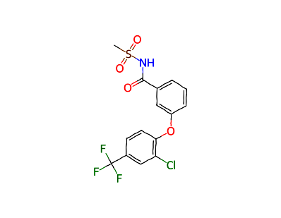 CS(=O)(=O)NC(=O)c1cccc(Oc2ccc(C(F)(F)F)cc2Cl)c1